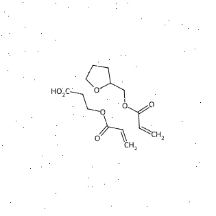 C=CC(=O)OCC1CCCO1.C=CC(=O)OCCC(=O)O